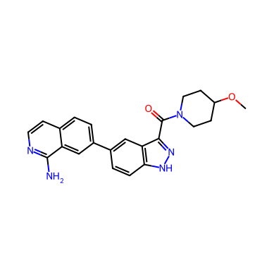 COC1CCN(C(=O)c2n[nH]c3ccc(-c4ccc5ccnc(N)c5c4)cc23)CC1